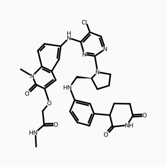 CNC(=O)COc1cc2cc(Nc3nc(N4CCC[C@H]4CNc4cccc(C5CCC(=O)NC5=O)c4)ncc3Cl)ccc2n(C)c1=O